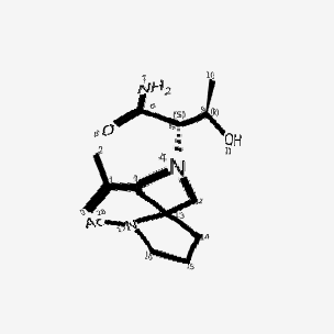 C=C(C)C1N([C@H](C(N)=O)[C@@H](C)O)CC12CCCN2C(C)=O